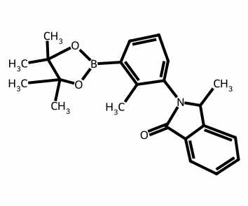 Cc1c(B2OC(C)(C)C(C)(C)O2)cccc1N1C(=O)c2ccccc2C1C